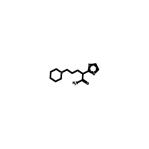 NC(=O)C(CCCN1CCCCC1)c1ncco1